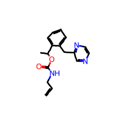 C=CCNC(=O)OC(C)c1ccccc1Cc1cnccn1